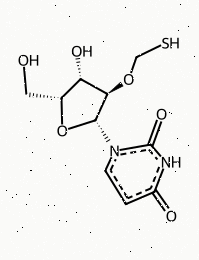 O=c1ccn([C@@H]2O[C@H](CO)[C@H](O)[C@H]2OCS)c(=O)[nH]1